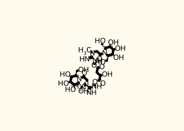 CN(CC(=O)N1[C@H](CO)[C@@H](O)C(O)[C@H](O)[C@H]1CO)C(=N)NOC(=O)CC(O)C(=O)ONC(=N)N(C)CC(=O)N1[C@H](CO)[C@@H](O)C(O)[C@H](O)[C@H]1CO